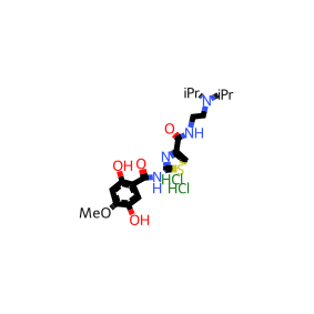 COc1cc(O)c(C(=O)Nc2nc(C(=O)NCCN(C(C)C)C(C)C)cs2)cc1O.Cl.Cl